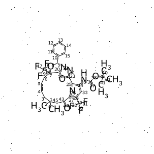 CC1(C)CC=CC[C@](OCc2ccccc2)(C(F)(F)F)c2nnc(o2)-c2nc(c(C(F)(F)F)cc2NC(=O)OC(C)(C)C)C(=O)C1